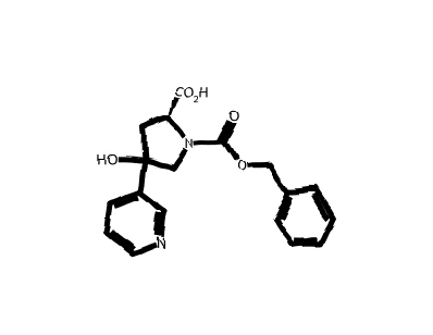 O=C(O)[C@@H]1CC(O)(c2cccnc2)CN1C(=O)OCc1ccccc1